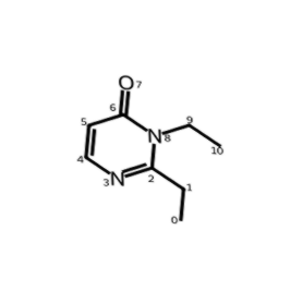 CCc1nccc(=O)n1CC